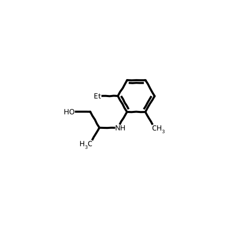 CCc1cccc(C)c1NC(C)CO